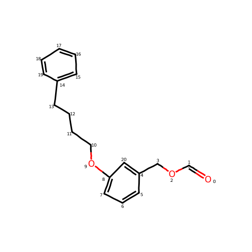 O=[C]OCc1cccc(OCCCCc2ccccc2)c1